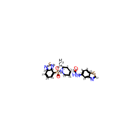 C[C@@H]1C[C@H](C(=O)Nc2ccc3scnc3c2)CCN1S(=O)(=O)c1cccc2nsnc12